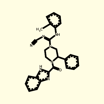 Cc1ccccc1N/C(=N/C#N)N1CCN(C(=O)c2nc3ccccc3[nH]2)C(c2ccccc2)C1